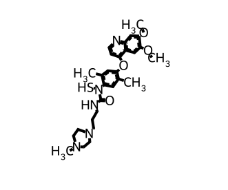 COc1cc2nccc(Oc3cc(C)c(N(S)C(=O)NCCCN4CCN(C)CC4)cc3C)c2cc1OC